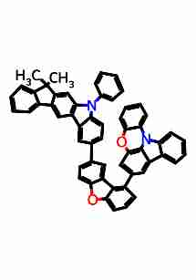 CC1(C)c2ccccc2-c2cc3c4cc(-c5ccc6oc7cccc(-c8cc9c%10c(c8)c8ccccc8n%10-c8ccccc8O9)c7c6c5)ccc4n(-c4ccccc4)c3cc21